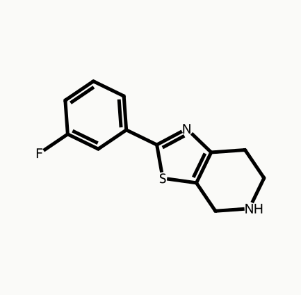 Fc1cccc(-c2nc3c(s2)CNCC3)c1